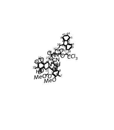 COCOc1c(OC)c(C)cc2c1C1C3CC4(O)C(=O)C(C)=C5OCOC5=C4[C@H](COC(=O)[C@@H](CSCC4c5ccccc5-c5ccccc54)NC(=O)OCC(Cl)(Cl)Cl)N3[C@@H](C#N)[C@@H](C2)N1C